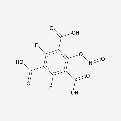 O=NOc1c(C(=O)O)c(F)c(C(=O)O)c(F)c1C(=O)O